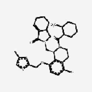 Cc1cnc(COc2ccc(Br)c3c2[C@@H](CN2CC4CCCC=C4C2=O)N(C(=O)C2CCCCC2C(=O)O)CC3)s1